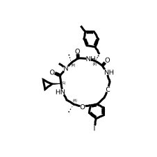 Cc1ccc(C[C@H]2NC(=O)[C@@H](C)N(C)C(=O)[C@H](C3CC3)NC[C@@H](C)Oc3cc(I)ccc3CCCNC2=O)cc1